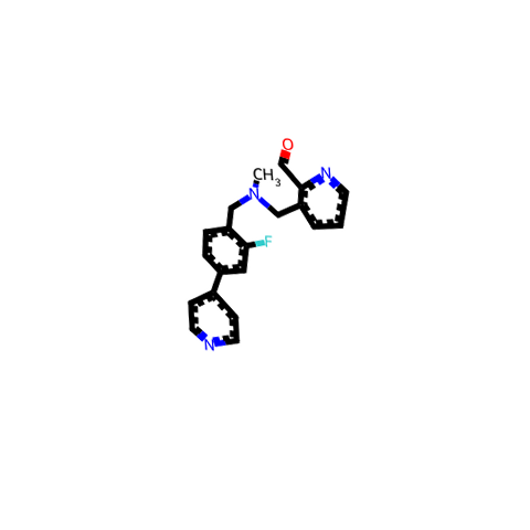 CN(Cc1ccc(-c2ccncc2)cc1F)Cc1cccnc1C=O